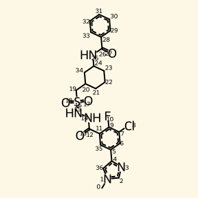 Cn1cnc(-c2cc(Cl)c(F)c(C(=O)NNS(=O)(=O)CC3CCCC(NC(=O)c4ccccc4)C3)c2)c1